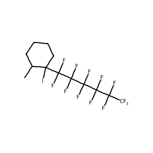 CC1CCCCC1(I)C(F)(F)C(F)(F)C(F)(F)C(F)(F)C(F)(F)C(F)(F)F